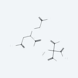 COC(C(=O)O)(C(=O)O)C(=O)O.O=C(O)COC(CC(=O)O)C(=O)O